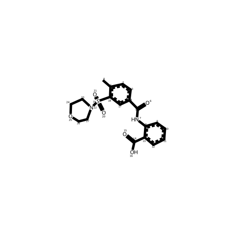 Cc1ccc(C(=O)Nc2ccccc2C(=O)O)cc1S(=O)(=O)N1CCOCC1